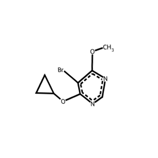 COc1ncnc(OC2CC2)c1Br